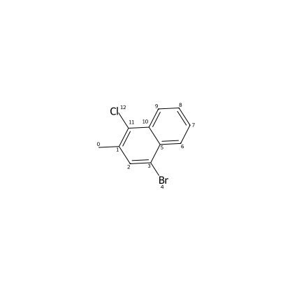 Cc1cc(Br)c2ccccc2c1Cl